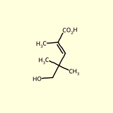 CC(=CC(C)(C)CO)C(=O)O